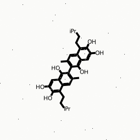 Cc1cc2c(CCC(C)C)c(O)c(O)cc2c(O)c1-c1c(C)cc2c(CCC(C)C)c(O)c(O)cc2c1O